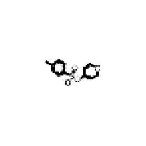 Cc1ccc(S(=O)(=O)OC2=CCOC=C2)cc1